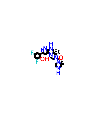 CCC12CNc3nnc(-c4cc(F)cc(F)c4O)cc3N1CCN(C(=O)N1CCNCC1(C)C)C2